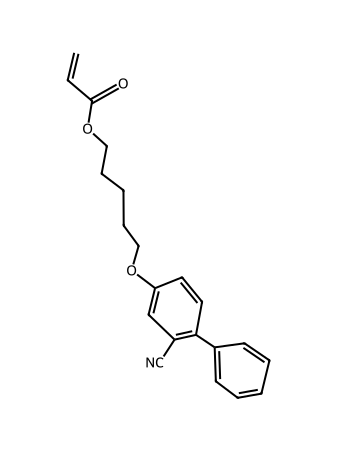 C=CC(=O)OCCCCCOc1ccc(-c2ccccc2)c(C#N)c1